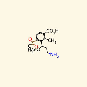 COC(CCN)c1c(S(C)(=O)=O)ccc(C(=O)O)c1C